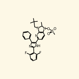 CC1N(CC(C)(C)C)c2nc(-c3[nH]c(-c4c(F)cccc4F)nc3-c3ccccc3)ccc2N1OS(C)(=O)=O